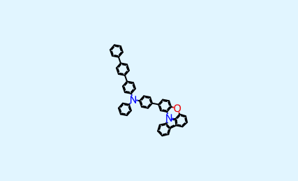 c1ccc(-c2ccc(-c3ccc(N(c4ccccc4)c4ccc(-c5ccc6c(c5)-n5c7ccccc7c7cccc(c75)O6)cc4)cc3)cc2)cc1